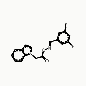 O=C(Cn1ccc2ccccc21)ON=Cc1cc(F)cc(F)c1